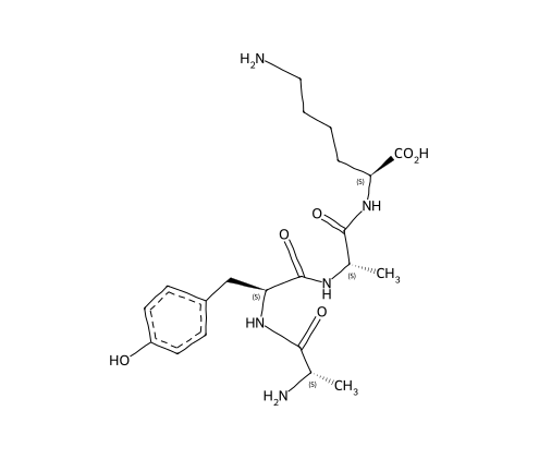 C[C@H](N)C(=O)N[C@@H](Cc1ccc(O)cc1)C(=O)N[C@@H](C)C(=O)N[C@@H](CCCCN)C(=O)O